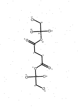 O=C(CCC(=O)OC(Cl)(Cl)CCl)OC(Cl)(Cl)CCl